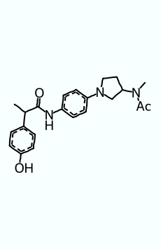 CC(=O)N(C)C1CCN(c2ccc(NC(=O)C(C)c3ccc(O)cc3)cc2)C1